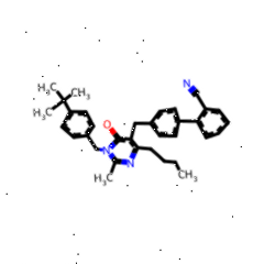 CCCCc1nc(C)n(Cc2ccc(C(C)(C)C)cc2)c(=O)c1Cc1ccc(-c2ccccc2C#N)cc1